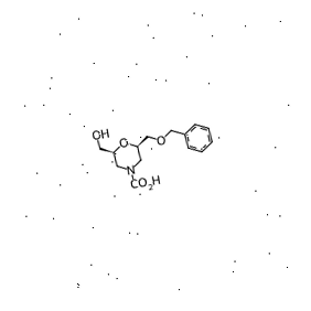 O=C(O)N1C[C@@H](CO)O[C@@H](COCc2ccccc2)C1